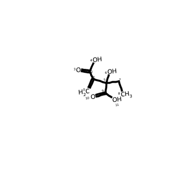 C=C(C(=O)O)C(O)(CC)C(=O)O